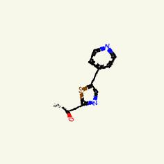 CC(C)C(=O)c1ncc(-c2ccncc2)s1